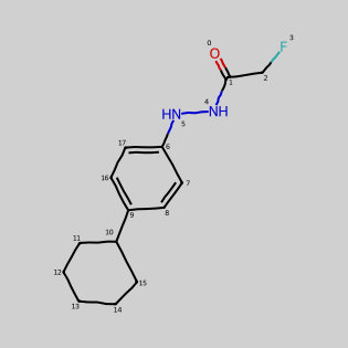 O=C(CF)NNc1ccc(C2CCCCC2)cc1